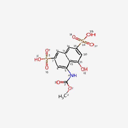 COC(=O)Nc1cc(S(=O)(=O)O)cc2cc(S(=O)(=O)O)cc(O)c12